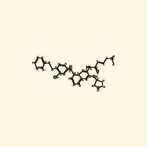 CN(C)C/C=C/C(=O)Nc1cc2c(Nc3ccc(CCc4ccccn4)c(Cl)c3)ncnc2cc1OC1CCOC1